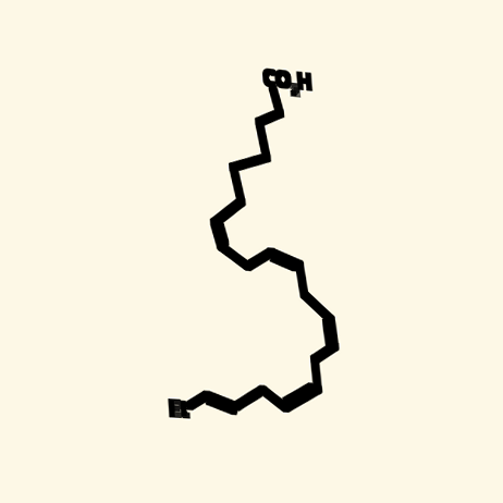 CC/C=C/C/C=C\C/C=C\C/C=C\C/C=C\CCCCCC(=O)O